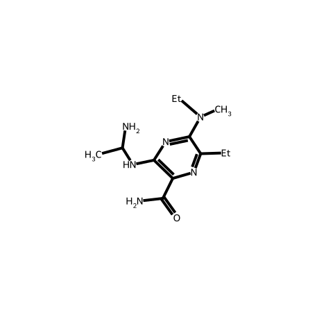 CCc1nc(C(N)=O)c(NC(C)N)nc1N(C)CC